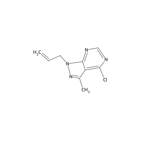 C=CCn1nc(C)c2c(Cl)ncnc21